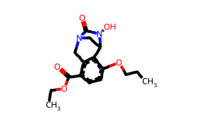 CCCOc1ccc(C(=O)OCC)c2c1C1CN(C2)C(=O)N1O